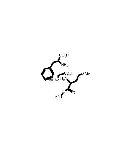 CC(=O)NCC(=O)O.CCCCOC(=O)C(N)CCSC.NC(Cc1ccccc1)C(=O)O